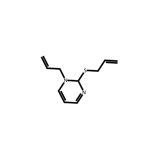 C=CCSC1N=CC=CN1CC=C